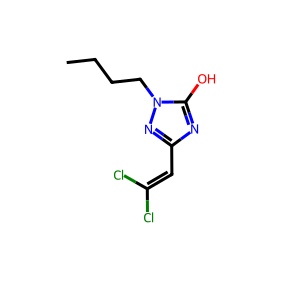 CCCCn1nc(C=C(Cl)Cl)nc1O